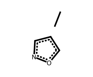 CC.c1cnoc1